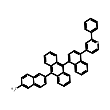 Cc1ccc2cc(-c3c4ccccc4c(-c4ccc(-c5ccnc(-c6ccccc6)c5)c5ccccc45)c4ccccc34)ccc2c1